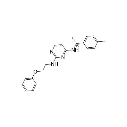 Cc1ccc([C@@H](C)Nc2ccnc(NCCOc3ccccc3)n2)cc1